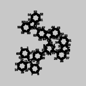 c1ccc([Si](c2ccccc2)(c2ccccc2)c2ccc(-c3nc(-c4cccc5sc6ccccc6c45)nc(-n4c5ccccc5c5cc(-n6c7ccccc7c7ccccc76)ccc54)n3)cc2)cc1